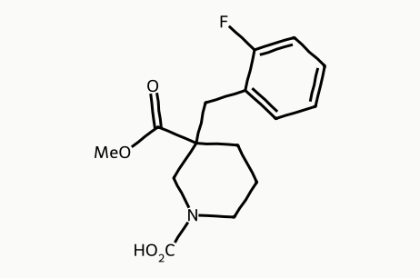 COC(=O)C1(Cc2ccccc2F)CCCN(C(=O)O)C1